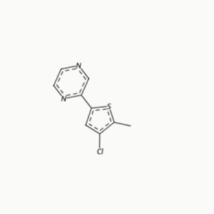 Cc1sc(-c2cnccn2)cc1Cl